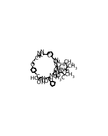 CN[C@@H](C)C(=O)N[C@H](C(=O)N1C[C@@H]2C[C@H]1C(=O)N[C@@H](Cc1ccccc1)C(=O)N[C@H](C(=O)O)Cc1ccc(cc1)OCCCn1cc(nn1)-c1cccc(c1)-c1cn2nn1)C(C)C